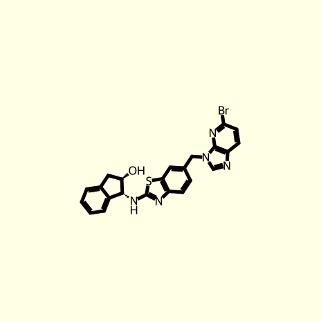 O[C@@H]1Cc2ccccc2[C@H]1Nc1nc2ccc(Cn3cnc4ccc(Br)nc43)cc2s1